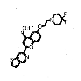 O/N=c1/cc(-c2cc3sccc3cn2)oc2ccc(OCCN3CCC(F)(F)CC3)cc12